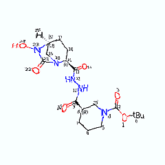 CC(C)(C)OC(=O)N1CCC[C@@H](C(=O)NNC(=O)[C@@H]2CC[C@H]3CN2C(=O)N3O)C1